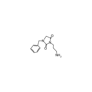 NCCCN1C(=O)CN(Cc2ccccc2)C1=O